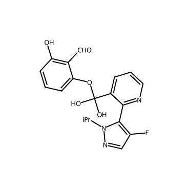 CC(C)n1ncc(F)c1-c1ncccc1C(O)(O)Oc1cccc(O)c1C=O